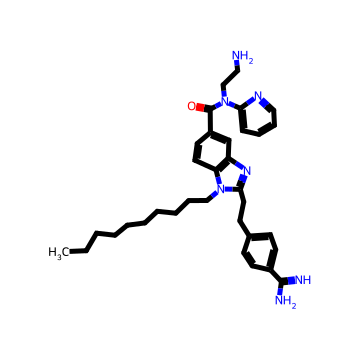 CCCCCCCCCCn1c(CCc2ccc(C(=N)N)cc2)nc2cc(C(=O)N(CCN)c3ccccn3)ccc21